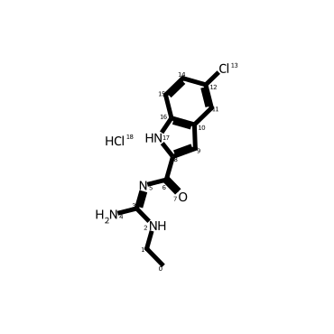 CCNC(N)=NC(=O)c1cc2cc(Cl)ccc2[nH]1.Cl